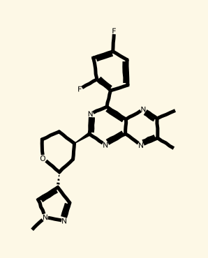 Cc1nc2nc([C@@H]3CCO[C@@H](c4cnn(C)c4)C3)nc(-c3ccc(F)cc3F)c2nc1C